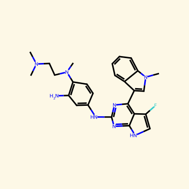 CN(C)CCN(C)c1ccc(Nc2nc(-c3cn(C)c4ccccc34)c3c(F)c[nH]c3n2)cc1N